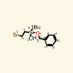 CC(C)(C)[Si](C)(CCBr)OCc1ccccc1